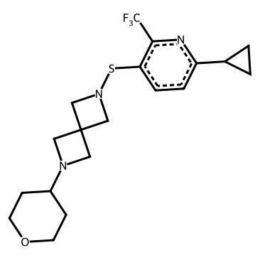 FC(F)(F)c1nc(C2CC2)ccc1SN1CC2(C1)CN(C1CCOCC1)C2